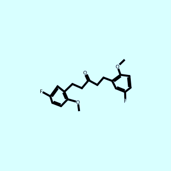 COc1ccc(F)cc1CCC(=O)CCc1cc(F)ccc1OC